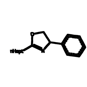 CCCCCCCC1=NC(c2ccccc2)CO1